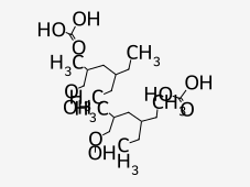 CCC(CC)CC(C)COO.CCC(CC)CC(C)COO.O=C(O)O.O=C(O)O